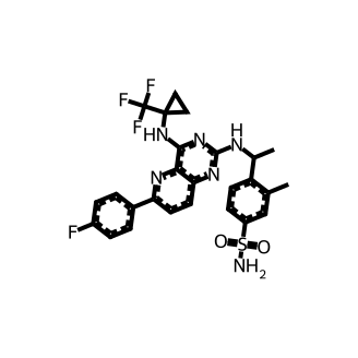 Cc1cc(S(N)(=O)=O)ccc1C(C)Nc1nc(NC2(C(F)(F)F)CC2)c2nc(-c3ccc(F)cc3)ccc2n1